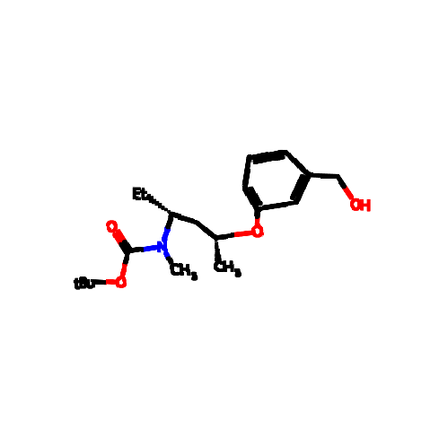 CC[C@H](C[C@@H](C)Oc1cccc(CO)c1)N(C)C(=O)OC(C)(C)C